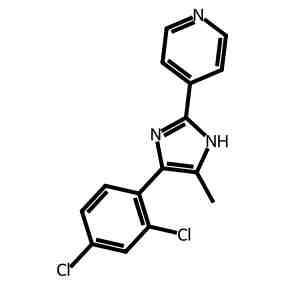 Cc1[nH]c(-c2ccncc2)nc1-c1ccc(Cl)cc1Cl